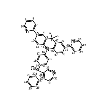 CC1(C)c2cc(-c3ccccn3)ccc2N(c2ccc(P(=O)(c3ccccc3)c3cccnc3)cc2)c2ccc(-c3ccccn3)cc21